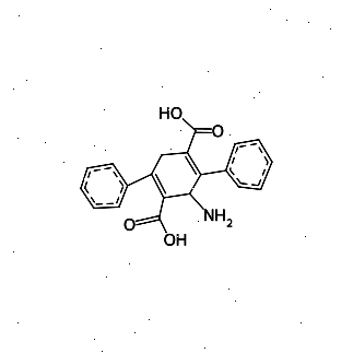 NC1C(C(=O)O)=C(c2ccccc2)CC(C(=O)O)=C1c1ccccc1